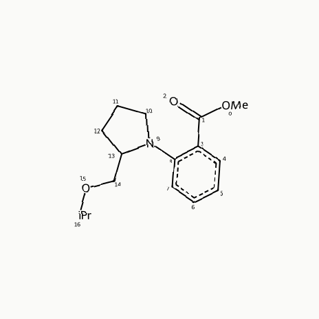 COC(=O)c1ccccc1N1CCCC1COC(C)C